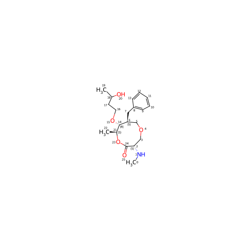 CN[C@H]1COC[C@H](Cc2ccccc2)[C@@H](OCCC(C)O)[C@H](C)OC1=O